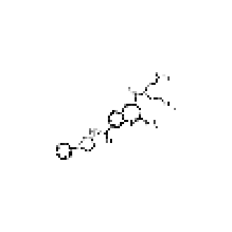 CCCN(CCC)C(=O)C1=Cc2ccc(C(=O)N[C@@H]3CCN(c4ccccc4)C3)cc2N=C(N)C1